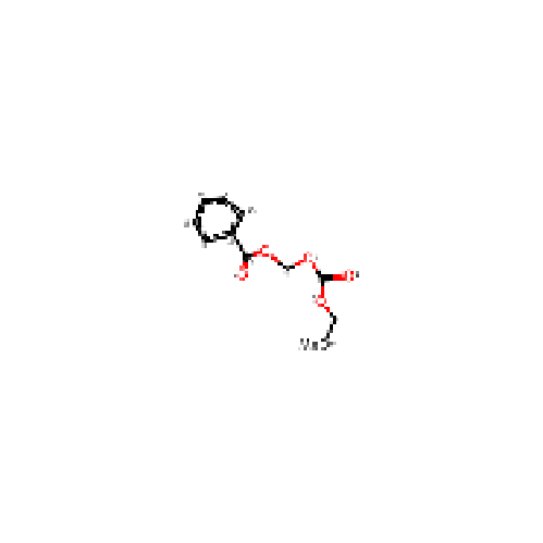 COCOC(=O)OCOC(=O)c1ccccc1